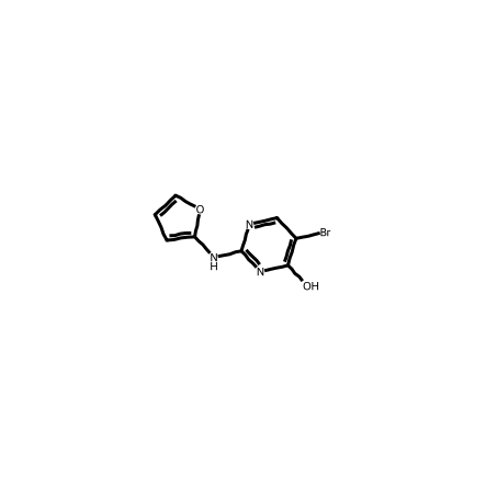 Oc1nc(Nc2ccco2)ncc1Br